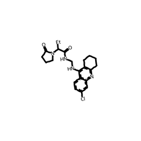 CCC(C(=O)NCNc1c2c(nc3cc(Cl)ccc13)CCCC2)N1CCCC1=O